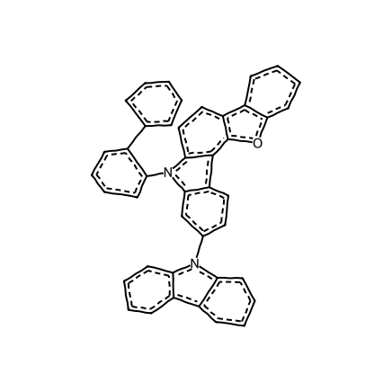 c1ccc(-c2ccccc2-n2c3cc(-n4c5ccccc5c5ccccc54)ccc3c3c4oc5ccccc5c4ccc32)cc1